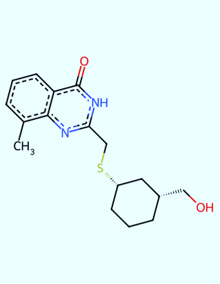 Cc1cccc2c(=O)[nH]c(CS[C@H]3CCC[C@@H](CO)C3)nc12